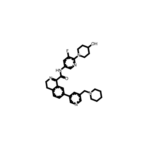 O=C(Nc1cnc(N2CCC(O)CC2)c(F)c1)C1=NCCc2ccc(-c3cncc(CN4CCCCC4)c3)cc21